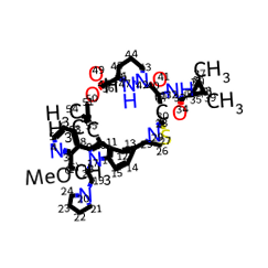 CO[C@@H](C)c1ncccc1-c1c2c3cc(ccc3n1CCN1CCCC1)C1CSC(=N1)C[C@H](NC(=O)[C@H]1[C@H](C)[C@@H]1C)C(=O)N1CCC[C@H](N1)C(=O)OCC(C)(C)C2